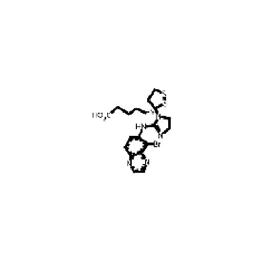 O=C(O)CCCC[C@]1(N2CCN=C2Nc2ccc3nccnc3c2Br)CCSS1